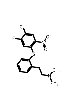 CN(C)CCc1ccccc1Sc1cc(F)c(Cl)cc1[N+](=O)[O-]